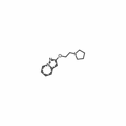 c1ccn2nc(OCCN3CCCC3)cc2c1